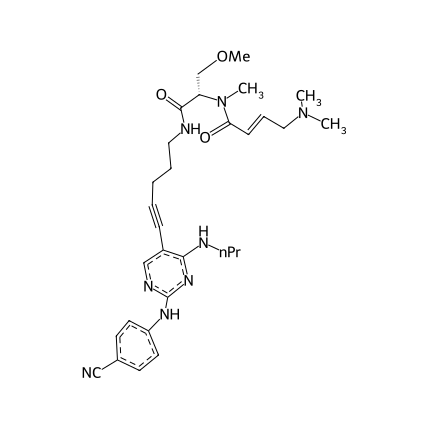 CCCNc1nc(Nc2ccc(C#N)cc2)ncc1C#CCCCNC(=O)[C@H](COC)N(C)C(=O)/C=C/CN(C)C